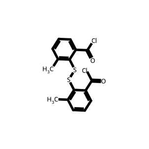 Cc1cccc(C(=O)Cl)c1SSc1c(C)cccc1C(=O)Cl